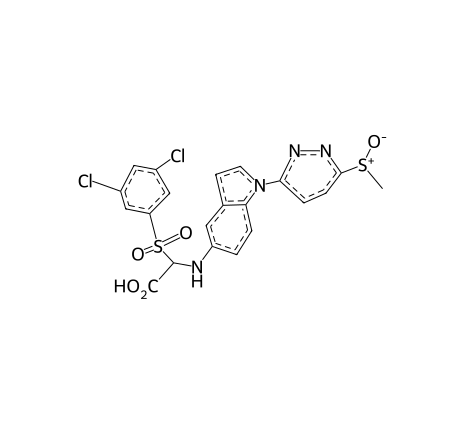 C[S+]([O-])c1ccc(-n2ccc3cc(NC(C(=O)O)S(=O)(=O)c4cc(Cl)cc(Cl)c4)ccc32)nn1